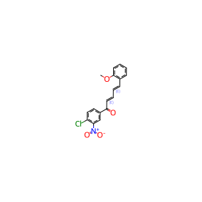 COc1ccccc1/C=C/C=C/C(=O)c1ccc(Cl)c([N+](=O)[O-])c1